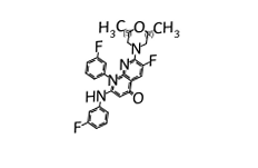 C[C@@H]1CN(c2nc3c(cc2F)c(=O)cc(Nc2cccc(F)c2)n3-c2cccc(F)c2)C[C@H](C)O1